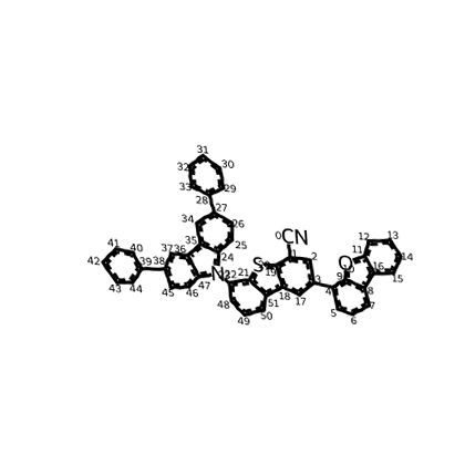 N#Cc1cc(-c2cccc3c2oc2ccccc23)cc2c1sc1c(-n3c4ccc(-c5ccccc5)cc4c4cc(-c5ccccc5)ccc43)cccc12